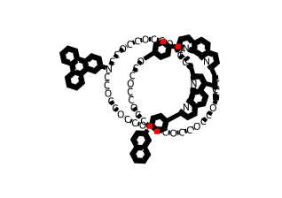 c1ccc2cc(N3CCOCCOCCOc4ccc(cc4)-c4ccc5ccc6ccc(nc6c5n4)-c4ccc(cc4-c4cc5nc6c4ccc4ccc(nc46)-c4ccc(cc4)OCCOCCOCCN(c4ccc6c7ccccc7c7ccccc7c6c4)CCOCCOCCOc4ccc-5cc4)OCCOCCOCC3)ccc2c1